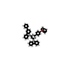 c1ccc(-c2ccc3c(c2)c2ccccc2n3-c2cc(-n3c4ccccc4c4ccccc43)nc(-c3ccc(N4C5CC6CC(C5)CC4C6)cc3)n2)cc1